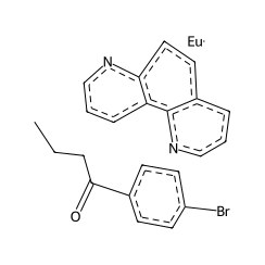 CCCC(=O)c1ccc(Br)cc1.[Eu].c1cnc2c(c1)ccc1ncccc12